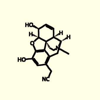 CN1CC[C@]23c4c5c(CC#N)cc(O)c4O[C@H]2[C@@H](O)C=C[C@H]3[C@H]1C5